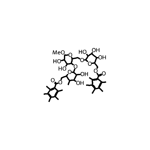 COC1OC(COC2OC(COC(=O)c3c(C)c(C)c(C)c(C)c3C)C(O)C(O)C2O)C(OC2OC(COC(=O)c3c(C)c(C)c(C)c(C)c3C)C(C)C(O)C2O)C(O)C1O